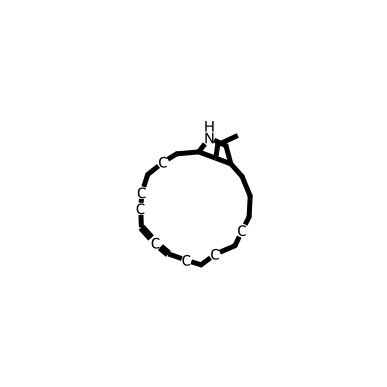 CCC1C2CCCCCCCCC=C=CCCCCCC1NC2